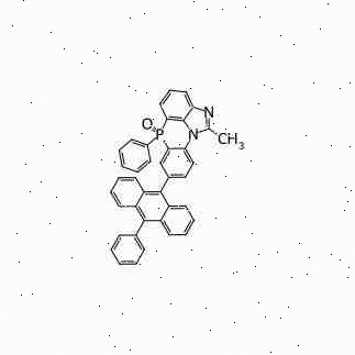 Cc1nc2cccc3c2n1-c1ccc(-c2c4ccccc4c(-c4ccccc4)c4ccccc24)cc1P3(=O)c1ccccc1